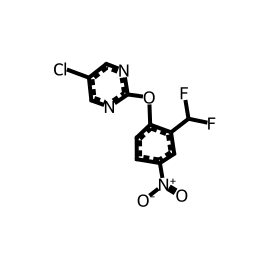 O=[N+]([O-])c1ccc(Oc2ncc(Cl)cn2)c(C(F)F)c1